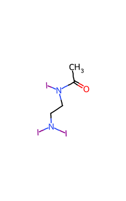 CC(=O)N(I)CCN(I)I